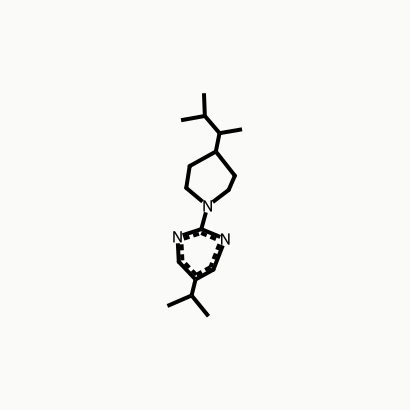 CC(C)c1cnc(N2CCC(C(C)C(C)C)CC2)nc1